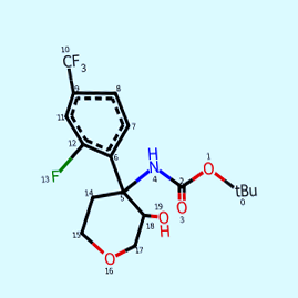 CC(C)(C)OC(=O)NC1(c2ccc(C(F)(F)F)cc2F)CCOCC1O